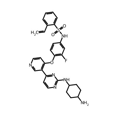 C=Cc1ccccc1S(=O)(=O)Nc1ccc(Oc2ccncc2-c2ccnc(NC3CCC(N)CC3)n2)c(F)c1